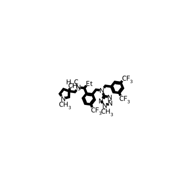 CCC(c1ccc(C(F)(F)F)cc1CN(Cc1cc(C(F)(F)F)cc(C(F)(F)F)c1)c1nnn(C)n1)N(C)CC1(C)CCN(C)C1